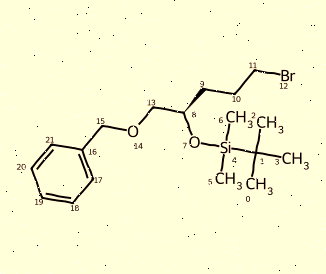 CC(C)(C)[Si](C)(C)O[C@H](CCCBr)COCc1ccccc1